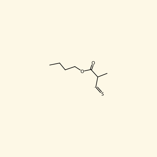 CCCCOC(=O)C(C)[C]=S